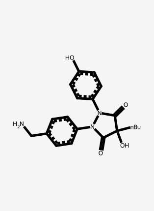 CCCCC1(O)C(=O)N(c2ccc(O)cc2)N(c2ccc(CN)cc2)C1=O